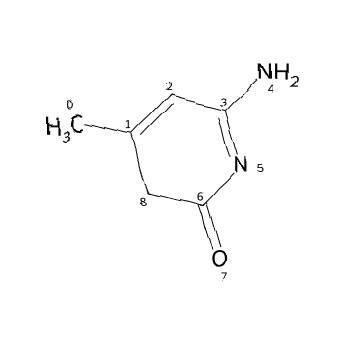 CC1=CC(N)=NC(=O)C1